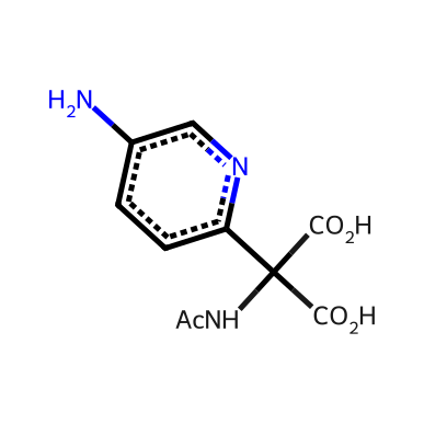 CC(=O)NC(C(=O)O)(C(=O)O)c1ccc(N)cn1